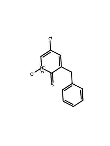 [O-][NH+]1C=C(Cl)C=C(Cc2ccccc2)C1=S